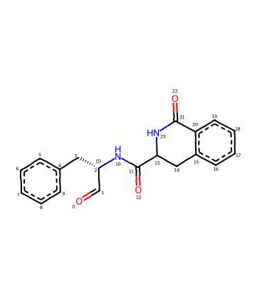 O=C[C@H](Cc1ccccc1)NC(=O)C1Cc2ccccc2C(=O)N1